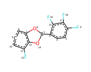 Fc1ccc(B2Oc3cccc(F)c3O2)c(F)c1F